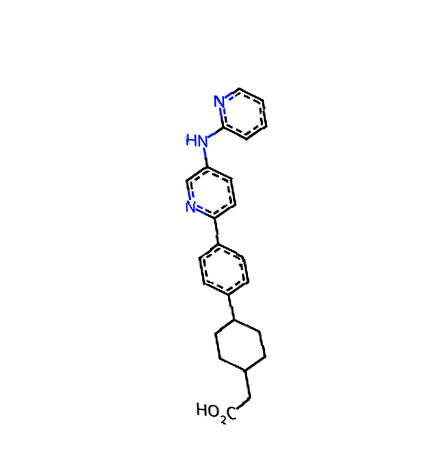 O=C(O)CC1CCC(c2ccc(-c3ccc(Nc4ccccn4)cn3)cc2)CC1